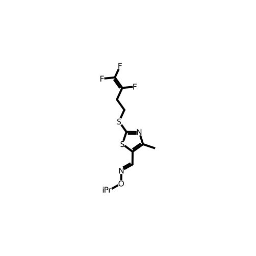 Cc1nc(SCCC(F)=C(F)F)sc1C=NOC(C)C